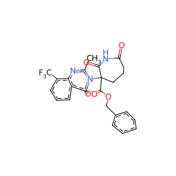 Cc1nc2c(C(F)(F)F)cccc2c(=O)n1C1(C(=O)OCc2ccccc2)CCCC(=O)NC1=O